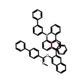 C/N=C(\Oc1cc2ccccc2cc1-c1ccc(-c2ccccc2N(c2cccc(-c3ccccc3)c2)c2cccc3c2oc2ccccc23)cc1)c1ccc(-c2ccccc2)cc1